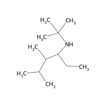 CCC(NC(C)(C)C)C(C)C(C)C